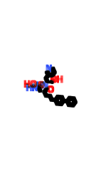 O=C(C[C@@H](CCCc1ccc(-c2ccccc2)cc1)C(=O)N[C@H](CO)Cc1cccnc1)NO